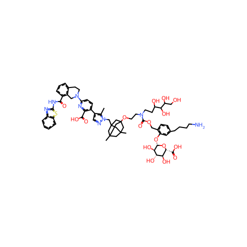 Cc1c(-c2ccc(N3CCc4cccc(C(=O)Nc5nc6ccccc6s5)c4C3)nc2C(=O)O)cnn1CC12CC3(C)CC(C)(C1)CC(OCCN(CCC(O)C(O)C(O)CO)C(=O)OCc1ccc(CCCCN)cc1O[C@@H]1O[C@H](C(=O)O)[C@@H](O)[C@H](O)[C@H]1O)(C3)C2